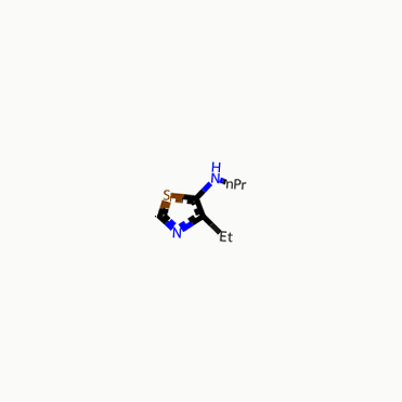 CCCNc1s[c]nc1CC